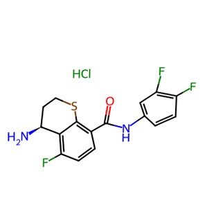 Cl.N[C@H]1CCSc2c(C(=O)Nc3ccc(F)c(F)c3)ccc(F)c21